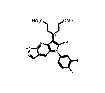 COCC[C@H](CCC(=O)O)c1c(C(C)C)n(-c2ccc(F)c(F)c2)c2cc3cn[nH]c3nc12